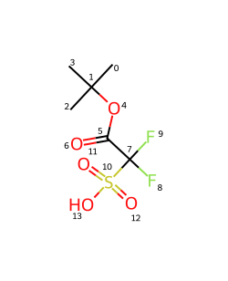 CC(C)(C)OC(=O)C(F)(F)S(=O)(=O)O